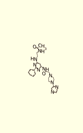 CC(=O)NCCNc1cc(NC(=O)CN2CCN(c3cnccn3)CC2)nc(-c2ccccc2)n1